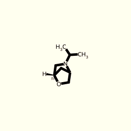 CC(C)N1C[C@@H]2CC1CO2